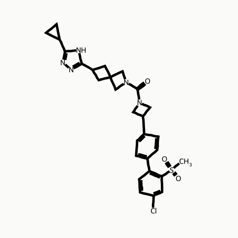 CS(=O)(=O)c1cc(Cl)ccc1-c1ccc(C2CN(C(=O)N3CC4(CC(c5nnc(C6CC6)[nH]5)C4)C3)C2)cc1